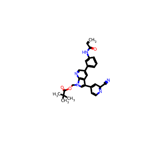 C=CC(=O)Nc1cccc(-c2cnc3c(c2)c(-c2ccnc(C#N)c2)cn3COC(=O)C(C)(C)C)c1